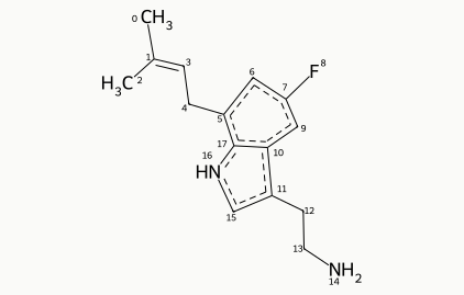 CC(C)=CCc1cc(F)cc2c(CCN)c[nH]c12